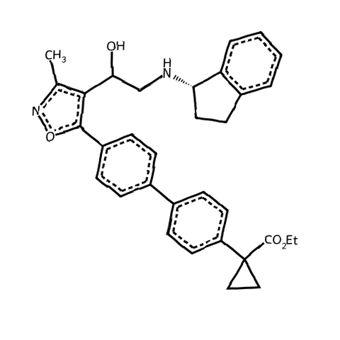 CCOC(=O)C1(c2ccc(-c3ccc(-c4onc(C)c4C(O)CN[C@H]4CCc5ccccc54)cc3)cc2)CC1